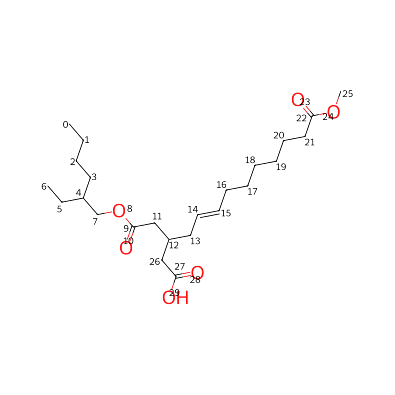 CCCCC(CC)COC(=O)CC(C/C=C/CCCCCCC(=O)OC)CC(=O)O